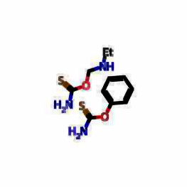 CCNCOC(N)=S.NC(=S)Oc1ccccc1